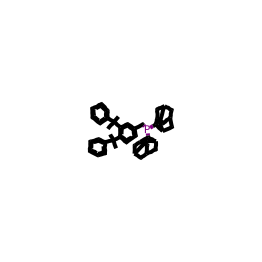 CC(C)(c1ccccc1)c1ccc(CP(C2C3CC4CC(C3)CC2C4)C2C3CC4CC(C3)CC2C4)cc1C(C)(C)c1ccccc1